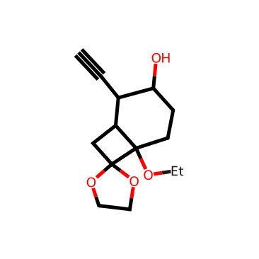 C#CC1C(O)CCC2(OCC)C1CC21OCCO1